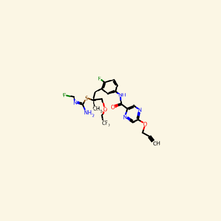 C#CCOc1cnc(C(=O)Nc2ccc(F)c(C[C@](C)(COCC(F)(F)F)S/C(N)=N\CF)c2)cn1